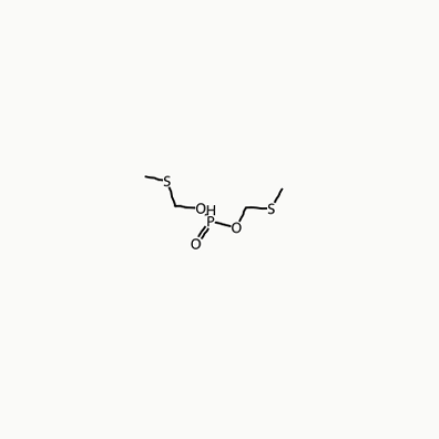 CSCO[PH](=O)OCSC